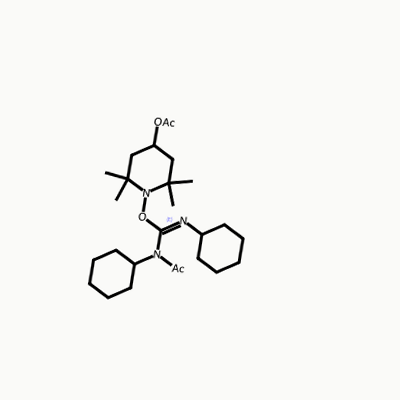 CC(=O)OC1CC(C)(C)N(O/C(=N/C2CCCCC2)N(C(C)=O)C2CCCCC2)C(C)(C)C1